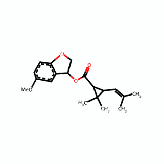 COc1ccc2c(c1)C(OC(=O)C1C(C=C(C)C)C1(C)C)CO2